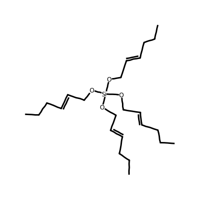 CCCC=CCO[Si](OCC=CCCC)(OCC=CCCC)OCC=CCCC